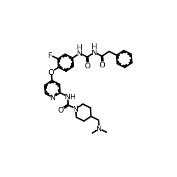 CN(C)CC1CCN(C(=O)Nc2cc(Oc3ccc(NC(=O)NC(=O)Cc4ccccc4)cc3F)ccn2)CC1